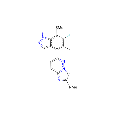 CNc1cn2nc(-c3c(C)c(F)c(SC)c4[nH]ncc34)ccc2n1